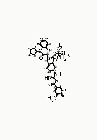 Cc1cc(C(=O)CC(=N)Nc2ccc(CN(C(=O)OC(C)(C)C)[C@@H](Cc3ccccc3)C(=O)OC3CCCC3)cc2)ccc1F